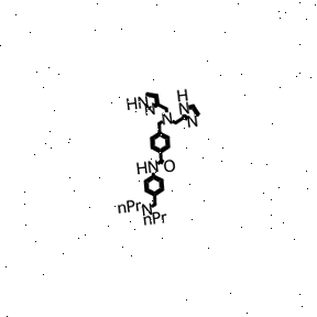 CCCN(CCC)Cc1ccc(NC(=O)c2ccc(CN(Cc3cc[nH]n3)Cc3ncc[nH]3)cc2)cc1